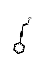 ON=CC#Cc1ccccc1